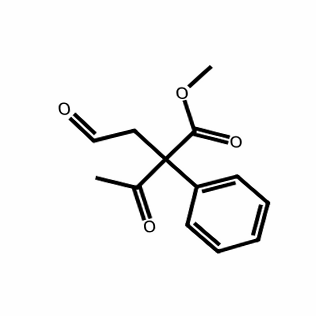 COC(=O)C(CC=O)(C(C)=O)c1ccccc1